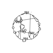 C[C@@]12c3cc4cc(c3)OCOc3cc5cc(c3)C(c3ccc([nH]3)C3c6cc(cc(c6)OP(=O)(c6ccccc6)O5)OCOc5cc(cc(c5)C(c5ccc3[nH]5)c3ccc1[nH]3)OCO4)c1ccc2[nH]1